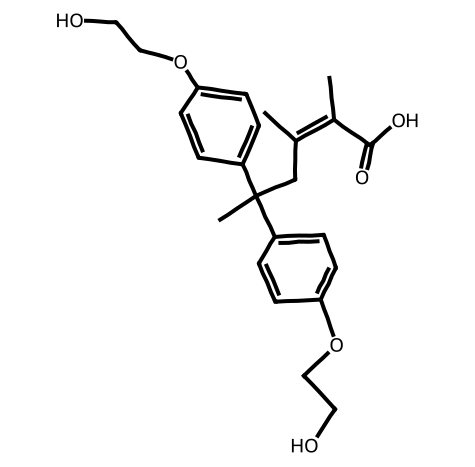 CC(CC(C)(c1ccc(OCCO)cc1)c1ccc(OCCO)cc1)=C(C)C(=O)O